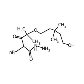 CCCC(C(=O)NN)C(=O)C(C)(C)OCCC(C)(C)CCO